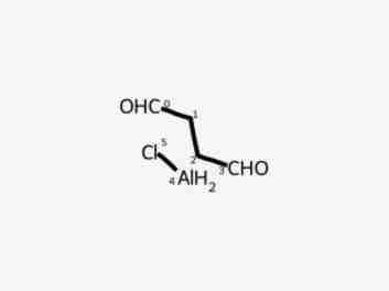 O=CCCC=O.[AlH2][Cl]